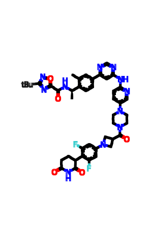 Cc1cc(-c2cc(Nc3ccc(N4CCN(C(=O)C5CN(c6cc(F)c(C7CCC(=O)NC7=O)c(F)c6)C5)CC4)cn3)ncn2)ccc1[C@@H](C)NC(=O)c1nc(C(C)(C)C)no1